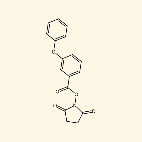 O=C(ON1C(=O)CCC1=O)c1cccc(Oc2ccccc2)c1